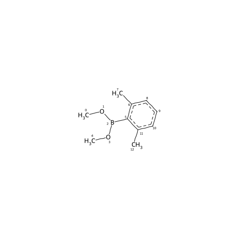 COB(OC)c1c(C)cccc1C